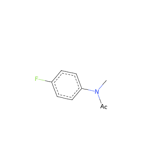 [CH2]C(=O)N(C)c1ccc(F)cc1